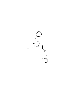 Cn1c(=O)n(Cc2ccccc2)c(=O)c2cc(C(=O)OCc3ccn[nH]3)sc21